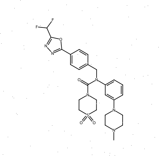 CN1CCN(c2cccc(N(Cc3ccc(-c4nnc(C(F)F)o4)cc3)C(=O)N3CCS(=O)(=O)CC3)c2)CC1